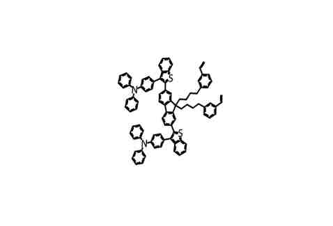 C=Cc1cccc(CCCCC2(CCCCc3cccc(C=C)c3)c3cc(-c4sc5ccccc5c4-c4ccc(N(c5ccccc5)c5ccccc5)cc4)ccc3-c3ccc(-c4sc5ccccc5c4-c4ccc(N(c5ccccc5)c5ccccc5)cc4)cc32)c1